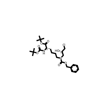 CC(C)(C)OC(=O)N[C@@H](CCCCN(C[C@H](O)CCl)C(=O)OCc1ccccc1)C(=O)OC(C)(C)C